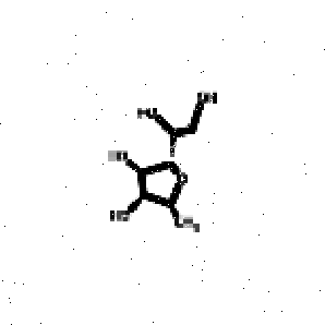 C[C@@H]1O[C@@H](C(O)CO)[C@H](O)[C@@H]1O